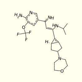 CC(C)N/C(=C\C(=N)c1cnc(N)c(OC(F)(F)F)c1)C1=C2CC(N3CCOCC3)C[C@H]21